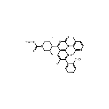 Cc1ccnc(C(C)C)c1-n1c(=O)nc(N2[C@@H](C)CN(C(=O)OC(C)(C)C)C[C@@H]2C)c2cc(Cl)c(-c3ccccc3C=O)nc21